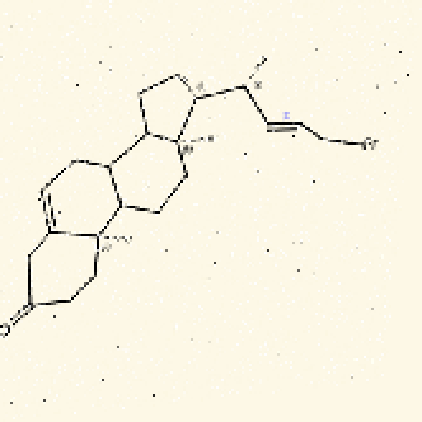 CC(C)C/C=C/[C@@H](C)[C@H]1CCC2C3CC=C4CC(=O)CC[C@]4(C)C3CC[C@@]21C